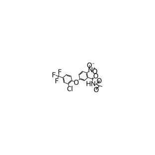 CS(=O)(=O)NC(=O)c1cc(Oc2ccc(C(F)(F)F)cc2Cl)ccc1[N+](=O)[O-]